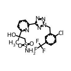 C[C@](O)(CS(N)(=O)=O)c1cccc(-c2nnn(Cc3cc(C(F)(F)F)ccc3Cl)n2)n1